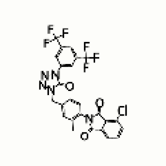 Cc1cc(Cn2nnn(-c3cc(C(F)(F)F)cc(C(F)(F)F)c3)c2=O)ccc1N1C(=O)c2cccc(Cl)c2C1=O